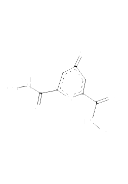 CC(C)(C)NC(=O)c1cc(=O)cc(C(=O)NC(C)(C)C)[nH]1